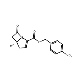 O=C(OCc1ccc([N+](=O)[O-])cc1)C1=CS[C@H]2CC(=O)N12